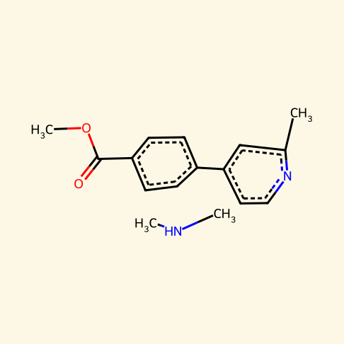 CNC.COC(=O)c1ccc(-c2ccnc(C)c2)cc1